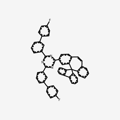 Fc1ccc(-c2cccc(-c3nc(-c4cccc(-c5ccc(F)cc5)c4)nc(-c4ccc5c(c4)C4(c6ccccc6C=C5)c5ccccc5-c5ccccc54)n3)c2)cc1